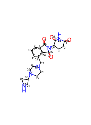 O=C1CCC(N2C(=O)c3cccc(CN4CCN(C5CNC5)CC4)c3C2=O)C(=O)N1